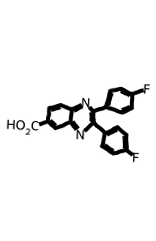 O=C(O)c1ccc2nc(-c3ccc(F)cc3)c(-c3ccc(F)cc3)nc2c1